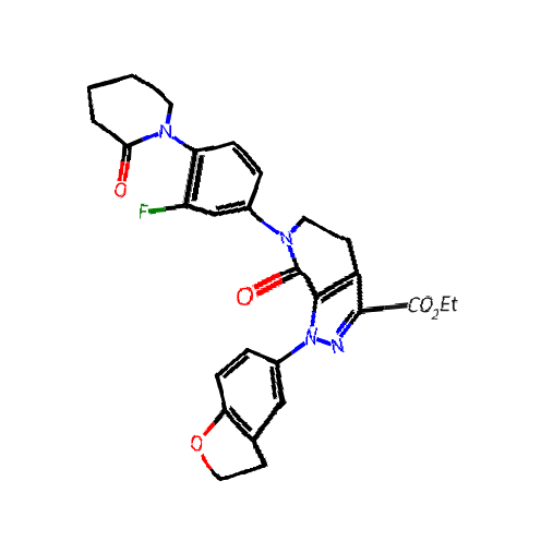 CCOC(=O)c1nn(-c2ccc3c(c2)CCO3)c2c1CCN(c1ccc(N3CCCCC3=O)c(F)c1)C2=O